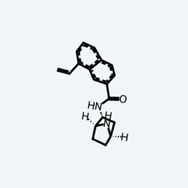 C=Cc1cccc2ccc(C(=O)N[C@@H]3C[C@H]4CC[C@@H]3N4)cc12